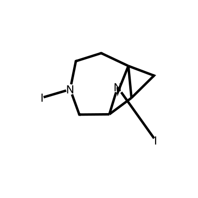 IN1CCC23CC2C(C1)N(I)C3